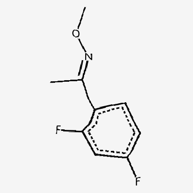 CO/N=C(\C)c1ccc(F)cc1F